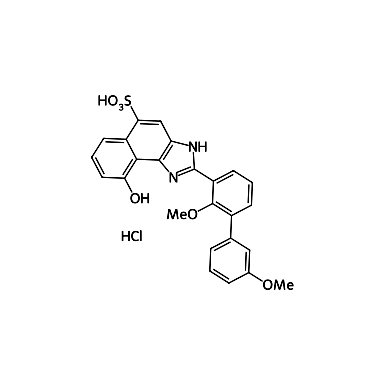 COc1cccc(-c2cccc(-c3nc4c(cc(S(=O)(=O)O)c5cccc(O)c54)[nH]3)c2OC)c1.Cl